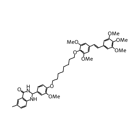 COc1cc(C2NC(=O)c3cc(C)ccc3N2)ccc1OCCCCCCCCOc1c(OC)cc(C=Cc2cc(OC)c(OC)c(OC)c2)cc1OC